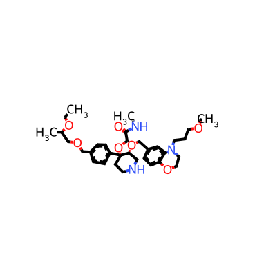 CCOC(C)COCc1ccc([C@@]2(OCC(=O)NC)CCNC[C@@H]2OCc2ccc3c(c2)N(CCCOC)CCO3)cc1